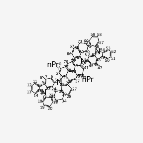 CCCc1cc(N(c2cc(C)c3c4ccccc4n(-c4ccccc4)c3c2)c2cccc3c2CCCC3)c2ccc3c(CCC)cc(N(c4cc(C)c5c6ccccc6n(-c6ccccc6)c5c4)c4cccc5c4CCCC5)c4ccc1c2c34